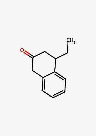 CCC1CC(=O)Cc2ccccc21